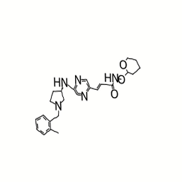 Cc1ccccc1CN1CC[C@@H](Nc2cnc(/C=C/C(=O)NOC3CCCCO3)cn2)C1